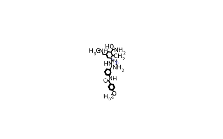 C=C1/C(=C(\N=C/N)NCc2cccc(NC(=O)c3ccc(OC)cc3)c2)C=C(CNC)CC1C(N)O